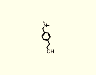 CN(C)Cc1ccc(CCO)cc1